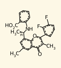 Cc1cc([C@@H](C)Nc2ccccc2C(=O)O)c2oc(-c3cccc(F)c3F)c(C)c(=O)c2c1